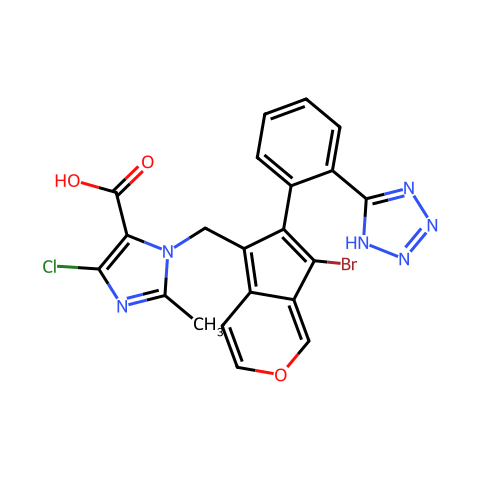 Cc1nc(Cl)c(C(=O)O)n1Cc1c2ccocc-2c(Br)c1-c1ccccc1-c1nnn[nH]1